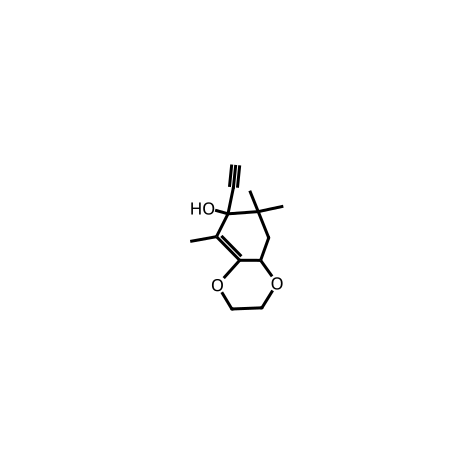 C#CC1(O)C(C)=C2OCCOC2CC1(C)C